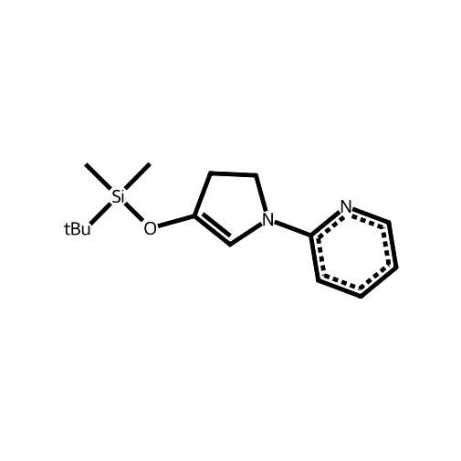 CC(C)(C)[Si](C)(C)OC1=CN(c2ccccn2)CC1